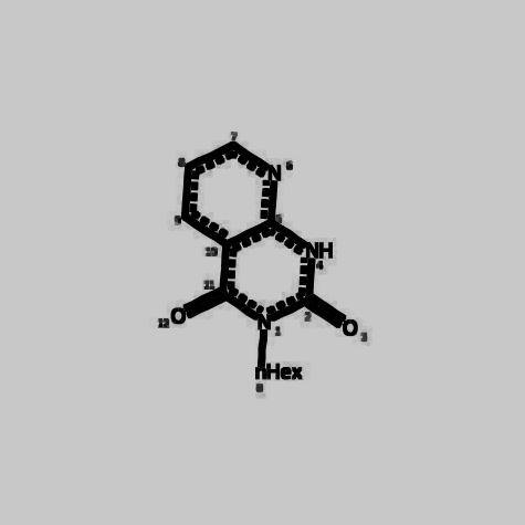 CCCCCCn1c(=O)[nH]c2ncccc2c1=O